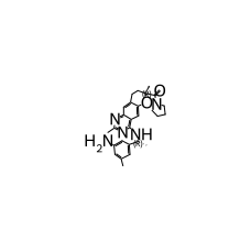 Cc1cc(N)cc([C@@H](C)Nc2nc(C)nc3cc4c(cc23)O[C@@](C)(C(=O)N2CCCC2)CC4)c1